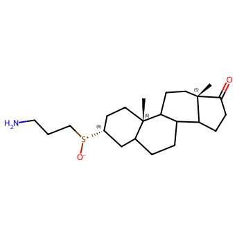 C[C@]12CC[C@@H]([S+]([O-])CCCN)CC1CCC1C2CC[C@]2(C)C(=O)CCC12